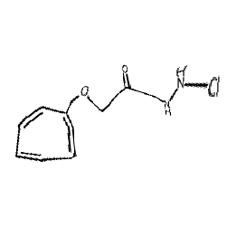 O=C(COc1ccccc1)NNCl